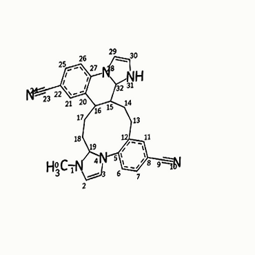 CN1C=CN2c3ccc(C#N)cc3CCC3C(CCC12)c1cc(C#N)ccc1N1C=CNC31